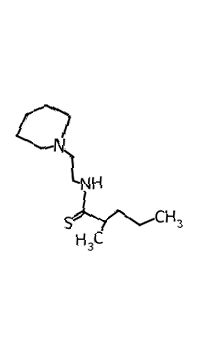 CCCC(C)C(=S)NCCN1CCCCC1